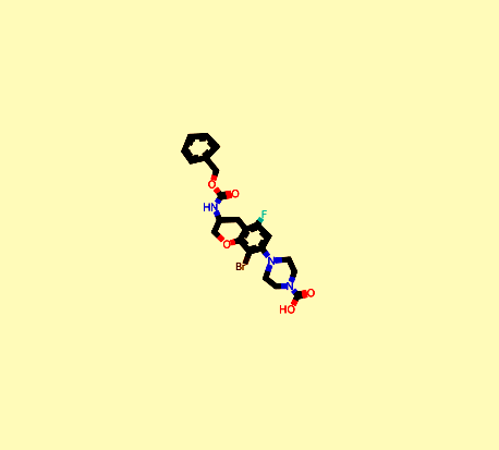 O=C(NC1COc2c(Br)c(N3CCN(C(=O)O)CC3)cc(F)c2C1)OCc1ccccc1